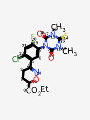 CCOC(=O)C1CCC(c2cc(-n3c(=O)n(C)c(=S)n(C)c3=O)c(F)cc2Cl)=NO1